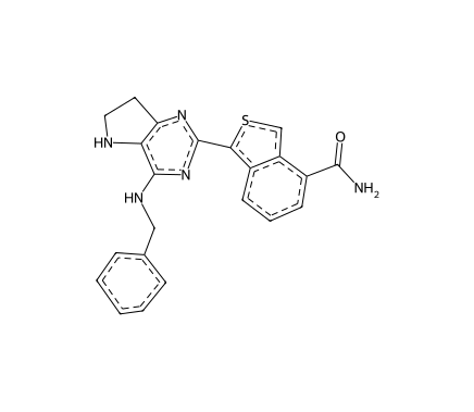 NC(=O)c1cccc2c(-c3nc4c(c(NCc5ccccc5)n3)NCC4)scc12